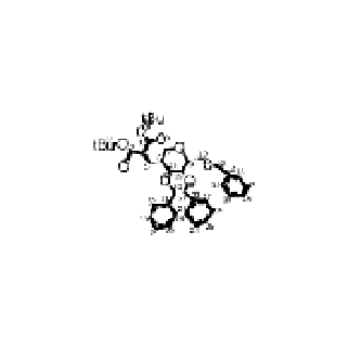 CC(C)(C)OC(=O)C(C[C@@H]1CO[C@H](COCc2ccccc2)[C@H](OCc2ccccc2)[C@@H]1OCc1ccccc1)C(=O)OC(C)(C)C